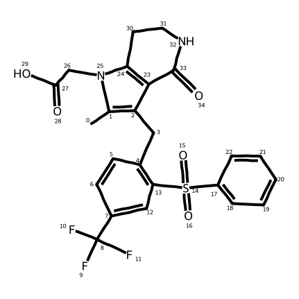 Cc1c(Cc2ccc(C(F)(F)F)cc2S(=O)(=O)c2ccccc2)c2c(n1CC(=O)O)CCNC2=O